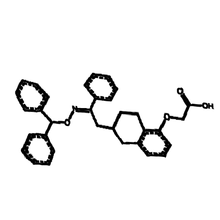 O=C(O)COc1cccc2c1CCC(C/C(=N\OC(c1ccccc1)c1ccccc1)c1ccccc1)C2